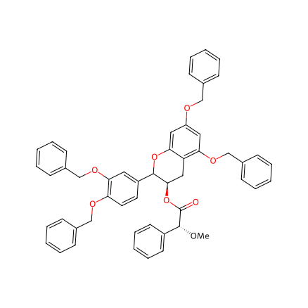 CO[C@@H](C(=O)O[C@@H]1Cc2c(OCc3ccccc3)cc(OCc3ccccc3)cc2OC1c1ccc(OCc2ccccc2)c(OCc2ccccc2)c1)c1ccccc1